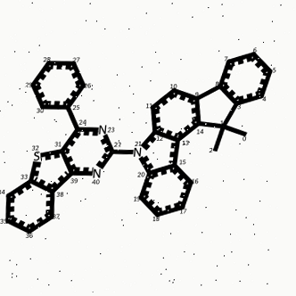 CC1(C)c2ccccc2-c2ccc3c(c21)c1ccccc1n3-c1nc(-c2ccccc2)c2sc3ccccc3c2n1